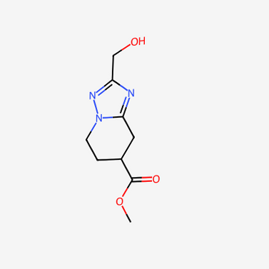 COC(=O)C1CCn2nc(CO)nc2C1